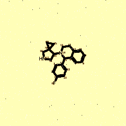 Fc1ccc(C2c3ccccc3CCN2C2CNCC23CC3)cc1